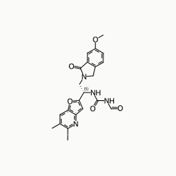 COc1ccc2c(c1)C(=O)N(C[C@H](NC(=O)NC=O)c1cc3nc(I)c(C)cc3o1)C2